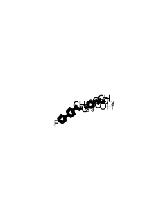 C/C(=C\COc1ccc(OC(C)(C)C(=O)O)cc1)c1ccc(-c2ccc(F)cc2)cc1